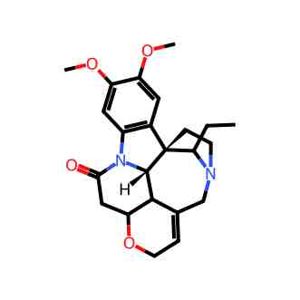 CCC1N2CC[C@@]13c1cc(OC)c(OC)cc1N1C(=O)CC4OCC=C(C2)C4[C@H]13